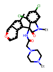 CCN1CCN(CC(=O)NC2(c3c(C)cc4coccc3-4)C(=O)N(CC)c3cc(Cl)cc(Cl)c32)CC1